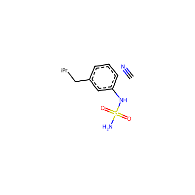 C#N.CC(C)Cc1cccc(NS(N)(=O)=O)c1